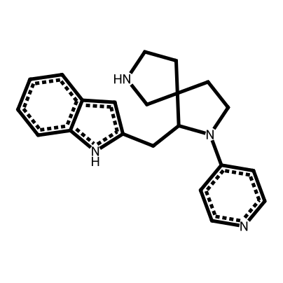 c1ccc2[nH]c(CC3N(c4ccncc4)CCC34CCNC4)cc2c1